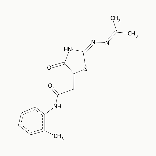 CC(C)=NN=C1NC(=O)C(CC(=O)Nc2ccccc2C)S1